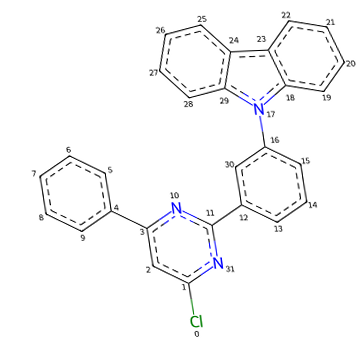 Clc1cc(-c2ccccc2)nc(-c2cccc(-n3c4ccccc4c4ccccc43)c2)n1